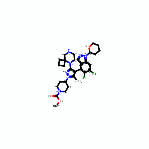 Cc1c(-c2c(Cl)c(Cl)cc3c2cnn3C2CCCCO2)c(N2CCNCC23CCC3)nn1C1CCN(C(=O)OC(C)(C)C)CC1